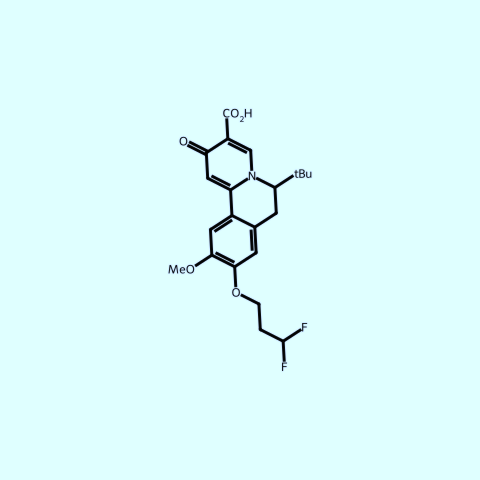 COc1cc2c(cc1OCCC(F)F)CC(C(C)(C)C)n1cc(C(=O)O)c(=O)cc1-2